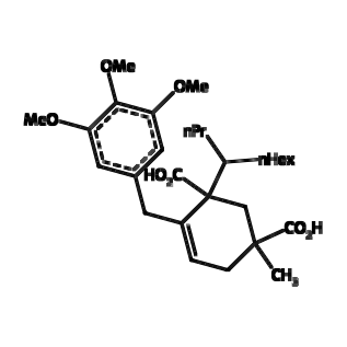 CCCCCCC(CCC)C1(C(=O)O)CC(C)(C(=O)O)CC=C1Cc1cc(OC)c(OC)c(OC)c1